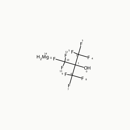 OC(C(F)(F)F)(C(F)(F)F)C(F)(F)F.[MgH2]